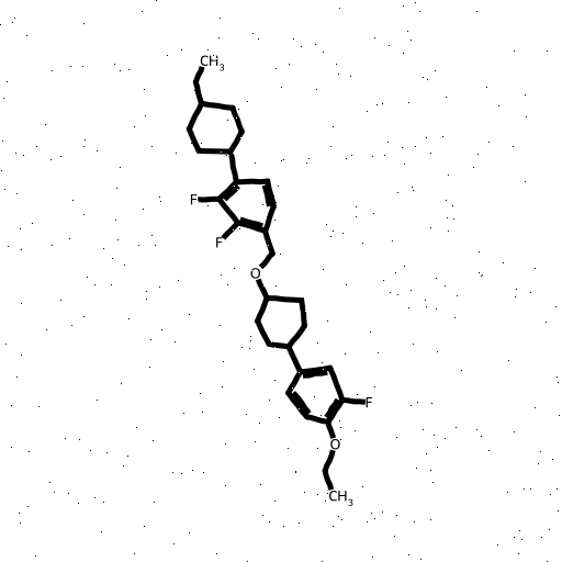 CCOc1ccc(C2CCC(OCc3ccc(C4CCC(CC)CC4)c(F)c3F)CC2)cc1F